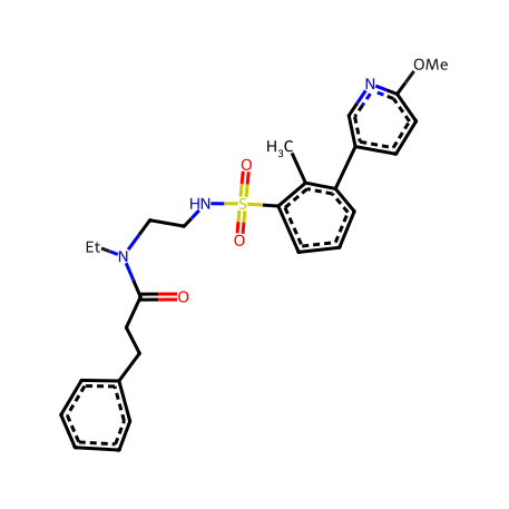 CCN(CCNS(=O)(=O)c1cccc(-c2ccc(OC)nc2)c1C)C(=O)CCc1ccccc1